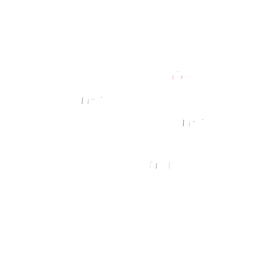 CCCc1cc(O)c(CCC)c(CCC)c1